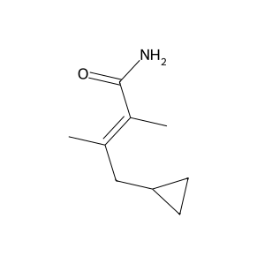 CC(CC1CC1)=C(C)C(N)=O